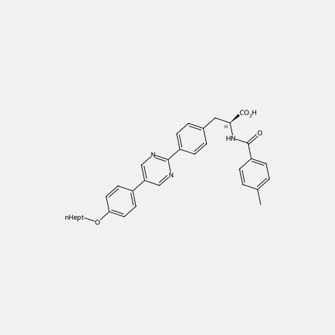 CCCCCCCOc1ccc(-c2cnc(-c3ccc(C[C@H](NC(=O)c4ccc(C)cc4)C(=O)O)cc3)nc2)cc1